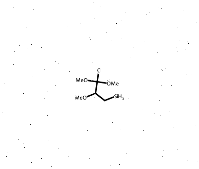 COC(C[SiH3])C(Cl)(OC)OC